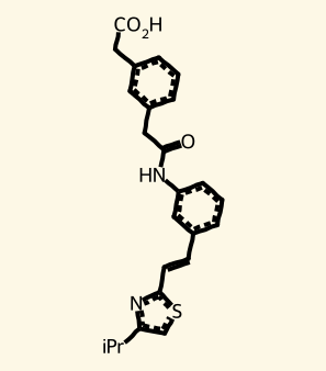 CC(C)c1csc(/C=C/c2cccc(NC(=O)Cc3cccc(CC(=O)O)c3)c2)n1